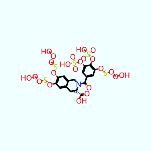 O=C(O)[C@@H]1Cc2cc(OSOOO)c(OSOOO)cc2CN1C(=O)c1cc(OSOOO)c(OS(=O)(=O)O)c(OS(=O)(=O)O)c1